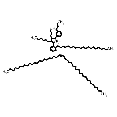 CCCCCCCCCCCCCCCCCC=CCCc1ccccc1C1=C(CCCCCC)C(CCCC)=C(c2cccc(CCCC)c2)[N+]1=[N-].CCCCCCCCCCCCCCCCCCCCC[CH2][Ni][CH2]CCCCCCCCCCCCCCCCCCCCC